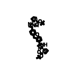 CC(C)(C)OC(=O)N1CCC[C@H]1c1ncc(-c2ccc3c(c2)Cc2ccc(-c4cnc([C@@H]5CCCN5C(=O)OC(C)(C)C)[nH]4)cc2O3)[nH]1